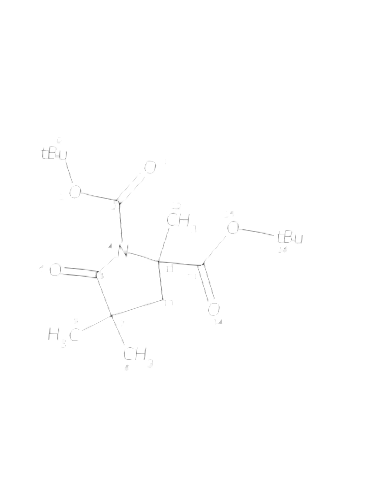 CC(C)(C)OC(=O)N1C(=O)C(C)(C)CC1(C)C(=O)OC(C)(C)C